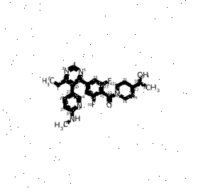 CCc1ncnc(-c2cc(F)c(C(=O)N3CCC(C(C)O)CC3)c(F)c2)c1-c1ccc(NC)nc1